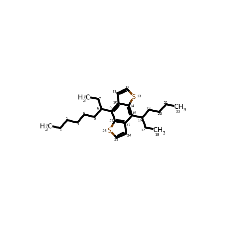 CCCCCCC(CC)c1c2ccsc2c(C(CC)CCCC)c2ccsc12